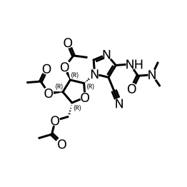 CC(=O)OC[C@H]1O[C@@H](n2cnc(NC(=O)N(C)C)c2C#N)[C@H](OC(C)=O)[C@@H]1OC(C)=O